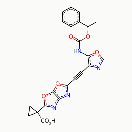 CC(OC(=O)Nc1ocnc1C#Cc1nc2nc(C3(C(=O)O)CC3)oc2o1)c1ccccc1